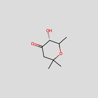 CC1OC(C)(C)CC(=O)[C@@H]1O